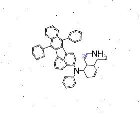 CCC1C=CCC(N(c2ccccc2)c2ccc3c4c(cccc24)-c2c-3c(-c3ccccc3)c3ccccc3c2-c2ccccc2)C1/C=C\N